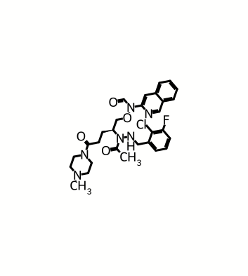 CC(=O)N(NCc1cccc(F)c1Cl)[C@@H](CCC(=O)N1CCN(C)CC1)CON(C=O)c1cc2ccccc2cn1